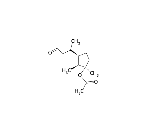 CC(=O)O[C@]1(C)CC[C@H](C(C)CC=O)[C@@H]1C